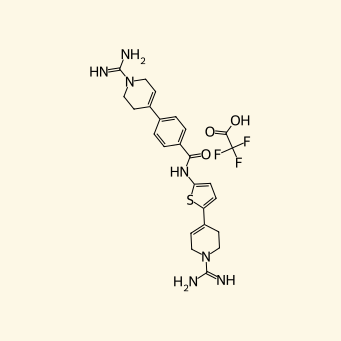 N=C(N)N1CC=C(c2ccc(C(=O)Nc3ccc(C4=CCN(C(=N)N)CC4)s3)cc2)CC1.O=C(O)C(F)(F)F